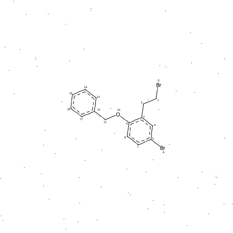 BrCCc1cc(Br)ccc1OCc1ccccc1